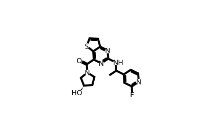 CC(Nc1nc(C(=O)N2CC[C@H](O)C2)c2sccc2n1)c1ccnc(F)c1